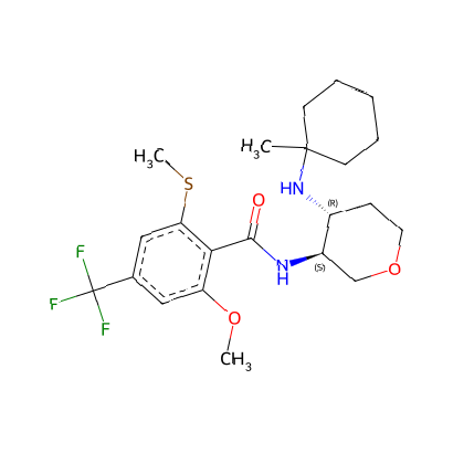 COc1cc(C(F)(F)F)cc(SC)c1C(=O)N[C@@H]1COCC[C@H]1NC1(C)CCCCC1